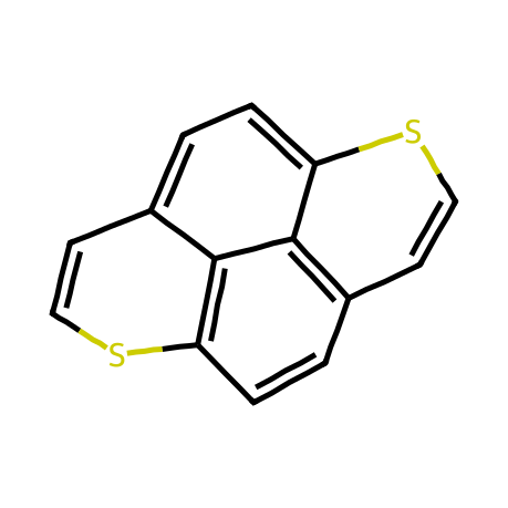 C1=Cc2ccc3c4c(ccc(c24)S1)C=CS3